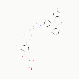 O=C1CCC(N2Cc3cc(N4CCN(CC5CCN(c6ccc([C@@H]7c8ccc(O)cc8CC[C@@H]7c7ccccc7)cc6)CC5)CC4)c4c(c3C2=O)OCO4)C(=O)N1